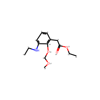 CCNc1cccc(CC(=O)OCC)c1OCOC